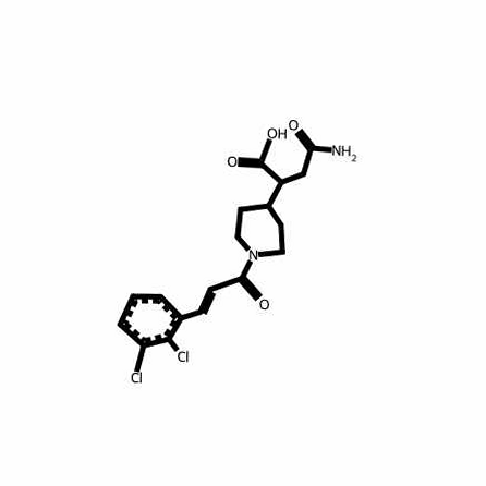 NC(=O)CC(C(=O)O)C1CCN(C(=O)C=Cc2cccc(Cl)c2Cl)CC1